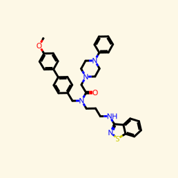 COc1ccc(-c2ccc(CN(CCCNc3nsc4ccccc34)C(=O)CN3CCN(c4ccccc4)CC3)cc2)cc1